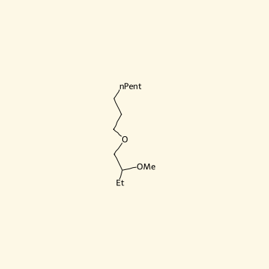 [CH2]CC(COCCCCCCCC)OC